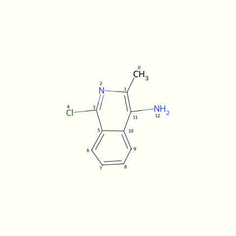 Cc1nc(Cl)c2ccccc2c1N